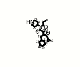 CCC(=O)N(C(=O)c1noc(C2CC2)c1Cc1ccccc1)C1CCNCC1